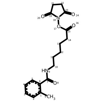 Cc1ccccc1C(=O)NCCCCCC(=O)ON1C(=O)CCC1=O